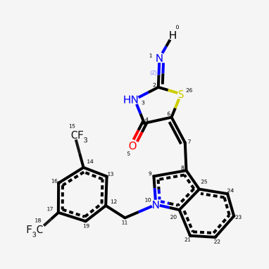 [H]/N=C1/NC(=O)C(=Cc2cn(Cc3cc(C(F)(F)F)cc(C(F)(F)F)c3)c3ccccc23)S1